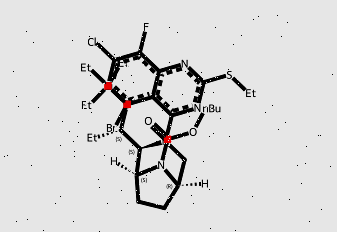 CCCCOC(=O)N1[C@@H]2CC[C@H]1[C@@H]([C@H](CC)O[Si](CC)(CC)CC)N(c1nc(SCC)nc3c(F)c(Cl)nc(Br)c13)C2